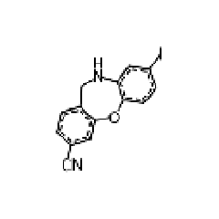 N#Cc1ccc2c(c1)Oc1ccc(I)cc1NC2